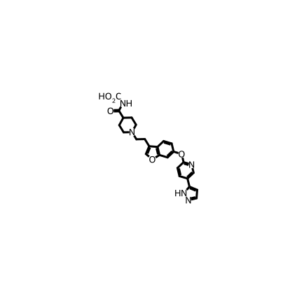 O=C(O)NC(=O)C1CCN(CCc2coc3cc(Oc4ccc(-c5ccn[nH]5)cn4)ccc23)CC1